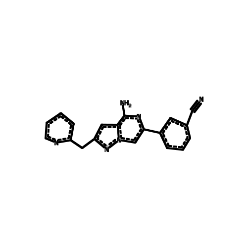 N#Cc1cccc(-c2cn3nc(Cc4ccccn4)cc3c(N)n2)c1